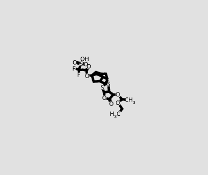 CCOC(C)OC1C(=O)OC2SC3(SC21)C1CC2CC3CC(OC(=O)C(F)(F)S(=O)(=O)O)(C2)C1